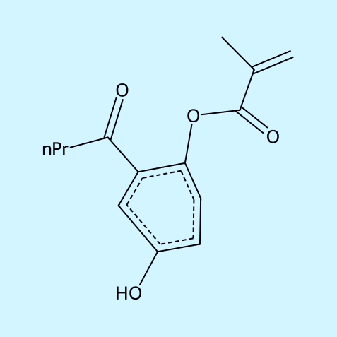 C=C(C)C(=O)Oc1ccc(O)cc1C(=O)CCC